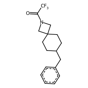 O=C(N1CC2(CCC(Cc3ccccc3)CC2)C1)C(F)(F)F